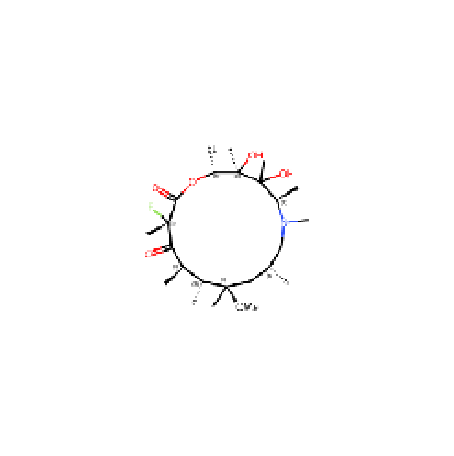 CC[C@H]1OC(=O)[C@@](C)(F)C(=O)[C@H](C)[C@@H](C)[C@](C)(OC)C[C@@H](C)CN(C)[C@H](C)C(C)(O)[C@]1(C)O